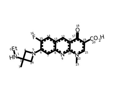 CCNC1(C)CN(c2cc3nc4c(cc3cc2F)c(=O)c(C(=O)O)cn4C)C1